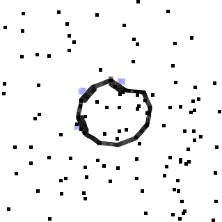 [C]1=C\CCCCCC\C=C/C=C\1